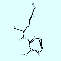 CC(C)CCCC(C)Oc1ccccc1C=O